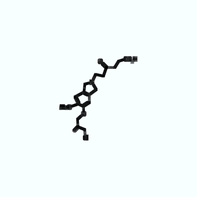 C=C(CCl)COc1cc2c(cc1OC)CN(CCC(=O)CCC(=O)O)C2